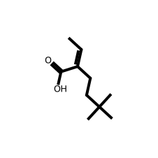 CC=C(CCC(C)(C)C)C(=O)O